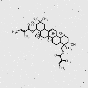 C/C=C(\C)C(=O)OC[C@]1(C)C2CC[C@]3(S)C(CC=C4C5CC(C)(C)[C@@H](O)[C@H](OC(=O)/C(C)=C/C)[C@]5(CO)[C@H](O)C[C@]43C)[C@@]2(C)CC[C@@H]1O